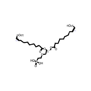 CCCCCCCC/C=C\CCCCCCCC(=O)OC[C@H](COCCP(=O)(O)O)OC(=O)CCCCCCC/C=C\CCCCCCCC